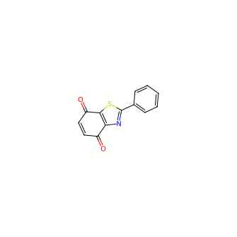 O=C1C=CC(=O)c2sc(-c3ccccc3)nc21